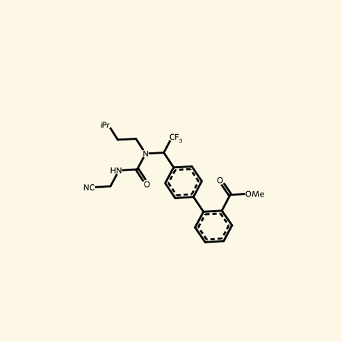 COC(=O)c1ccccc1-c1ccc(C(N(CCC(C)C)C(=O)NCC#N)C(F)(F)F)cc1